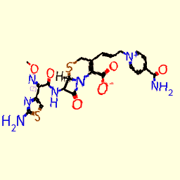 CO/N=C(\C(=O)NC1C(=O)N2C(C(=O)[O-])=C(C=CC[n+]3ccc(C(N)=O)cc3)CS[C@@H]12)c1csc(N)n1